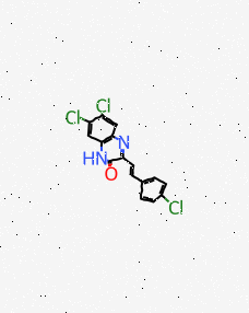 O=c1[nH]c2cc(Cl)c(Cl)cc2nc1C=Cc1ccc(Cl)cc1